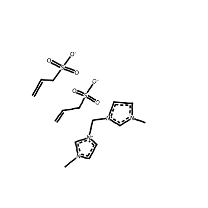 C=CCS(=O)(=O)[O-].C=CCS(=O)(=O)[O-].Cn1cc[n+](C[n+]2ccn(C)c2)c1